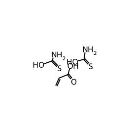 C=CC(=O)O.NC(O)=S.NC(O)=S